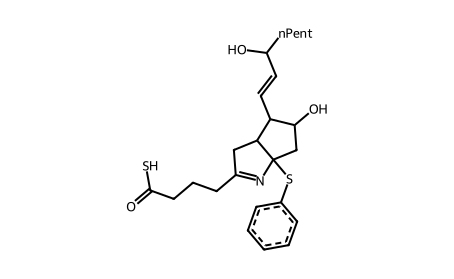 CCCCCC(O)/C=C/C1C(O)CC2(Sc3ccccc3)N=C(CCCC(=O)S)CC12